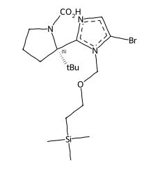 CC(C)(C)[C@]1(c2ncc(Br)n2COCC[Si](C)(C)C)CCCN1C(=O)O